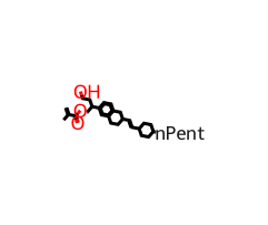 C=C(C)C(=O)OCC(CCO)c1ccc2c(c1)CCC(/C=C/C1CCC(CCCCC)CC1)C2